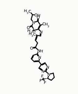 CC(/C=N\c1c(C)c(=O)n(CC(C)O)c(=O)n1C)=C/CC(=O)Nc1cccc(-c2cnc(N3CCC[C@H]3C(F)(F)F)nc2)n1